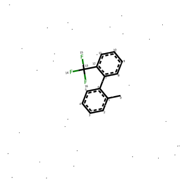 Cc1ccccc1-c1cc[c]cc1C(F)(F)F